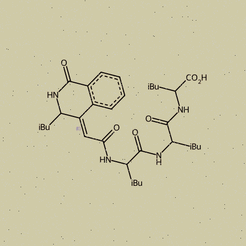 CCC(C)C(NC(=O)C(NC(=O)C(NC(=O)/C=C1\c2ccccc2C(=O)NC1C(C)CC)C(C)CC)C(C)CC)C(=O)O